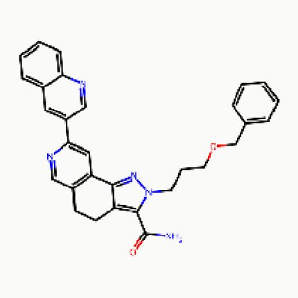 NC(=O)c1c2c(nn1CCCOCc1ccccc1)-c1cc(-c3cnc4ccccc4c3)ncc1CC2